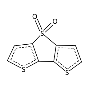 O=S1(=O)c2ccsc2-c2sccc21